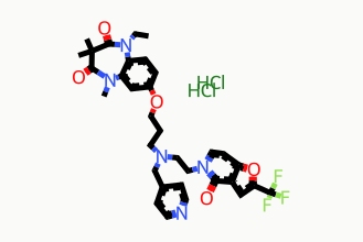 CCN1C(=O)C(C)(C)C(=O)N(C)c2cc(OCCCN(CCn3ccc4oc(C(F)(F)F)cc4c3=O)Cc3ccncc3)ccc21.Cl.Cl